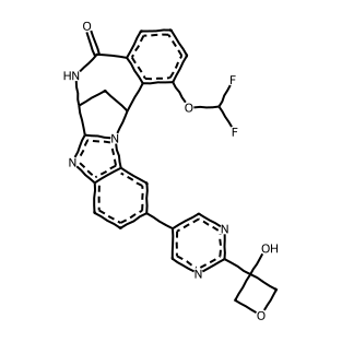 O=C1NC2CC(c3c(OC(F)F)cccc31)n1c2nc2ccc(-c3cnc(C4(O)COC4)nc3)cc21